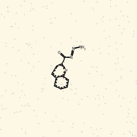 NN=NC(=O)c1ccc2ccccc2n1